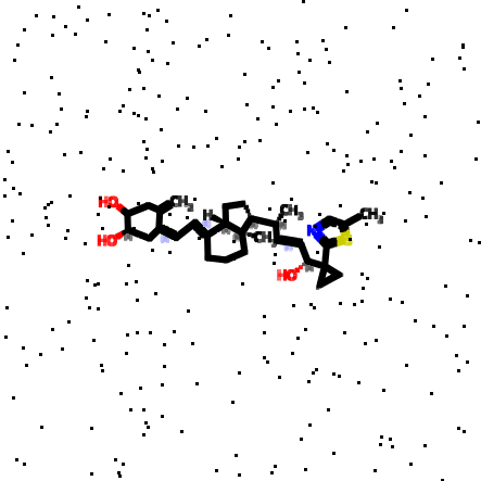 C=C1CC(O)[C@H](O)C/C1=C/C=C1\CCC[C@]2(C)[C@@H]([C@H](C)/C=C/[C@@H](O)C3(c4ncc(C)s4)CC3)CC[C@@H]12